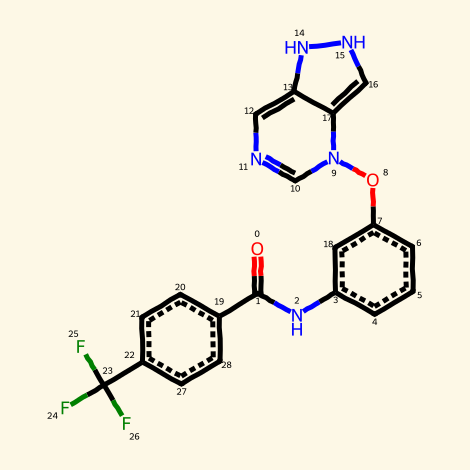 O=C(Nc1cccc(ON2C=NC=C3NNC=C32)c1)c1ccc(C(F)(F)F)cc1